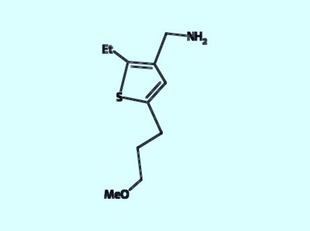 CCc1sc(CCCOC)cc1CN